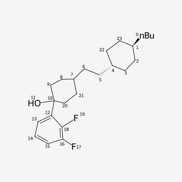 CCCC[C@H]1CC[C@H](CCC2CCC(O)(c3cccc(F)c3F)CC2)CC1